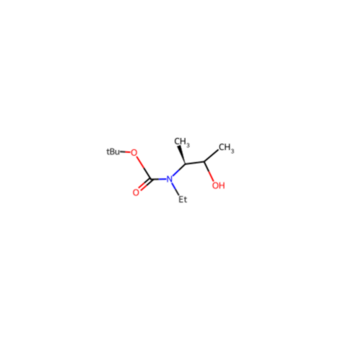 CCN(C(=O)OC(C)(C)C)[C@@H](C)C(C)O